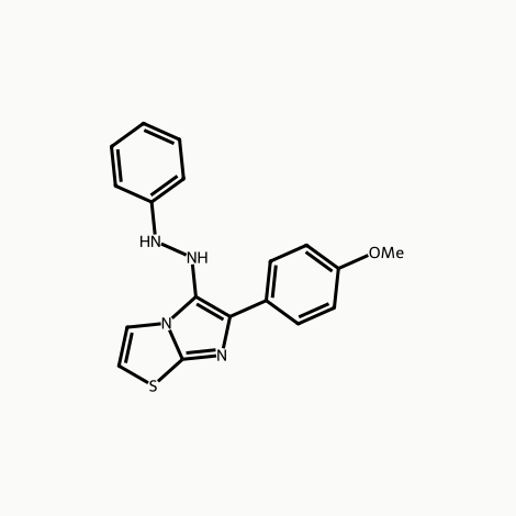 COc1ccc(-c2nc3sccn3c2NNc2ccccc2)cc1